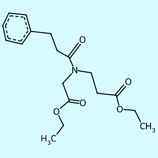 CCOC(=O)CCN(CC(=O)OCC)C(=O)CCc1ccccc1